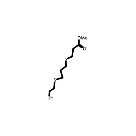 COC(=O)CCSCCCSCCC(C)C